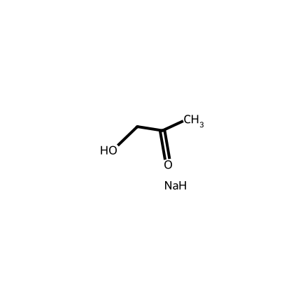 CC(=O)CO.[NaH]